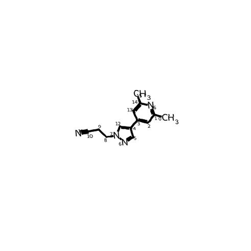 Cc1cc(-c2cnn(CCC#N)c2)cc(C)n1